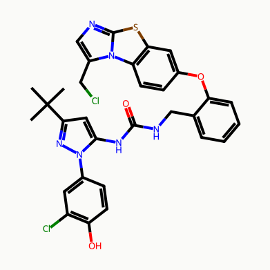 CC(C)(C)c1cc(NC(=O)NCc2ccccc2Oc2ccc3c(c2)sc2ncc(CCl)n23)n(-c2ccc(O)c(Cl)c2)n1